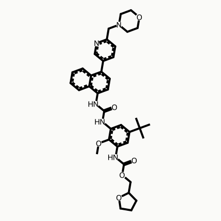 COc1c(NC(=O)Nc2ccc(-c3ccc(CN4CCOCC4)nc3)c3ccccc23)cc(C(C)(C)C)cc1NC(=O)OCC1CCCO1